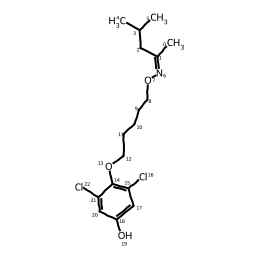 CC(CC(C)C)=NOCCCCCOc1c(Cl)cc(O)cc1Cl